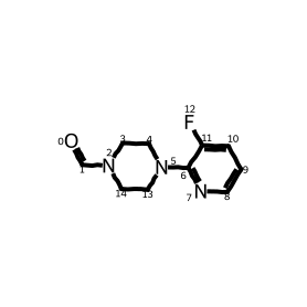 O=CN1CCN(c2ncccc2F)CC1